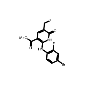 COC(=O)c1cc(CF)c(=O)[nH]c1Nc1ccc(Br)cc1F